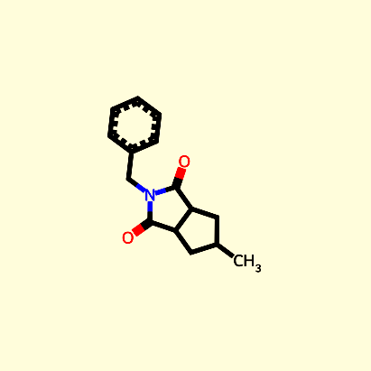 CC1CC2C(=O)N(Cc3ccccc3)C(=O)C2C1